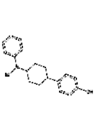 CCN(c1ccccc1)C1CCC(c2ccc(O)cc2)CC1